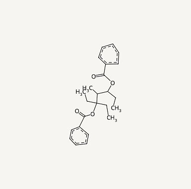 CCC(OC(=O)c1ccccc1)C(C)C(CC)(CC)OC(=O)c1ccccc1